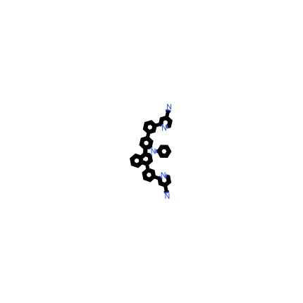 N#Cc1ccnc(-c2cccc(-c3ccc4c5c6ccccc6c(-c6cccc(-c7cc(C#N)ccn7)c6)cc5n(-c5ccccc5)c4c3)c2)c1